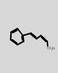 CCOC(=O)/C=C\C=C\c1ccccc1